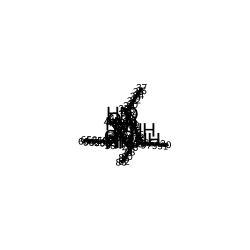 CCCCCCCCCCC(C)NC(=O)CCNCCN(CCC(=O)NC(C)CCCCCCCCCC)CCN(CCC(=O)NC)CCN(CCC(=O)NC(C)CCCCCCCCCC)CCC(=O)NC(C)CCCCCCCCCC